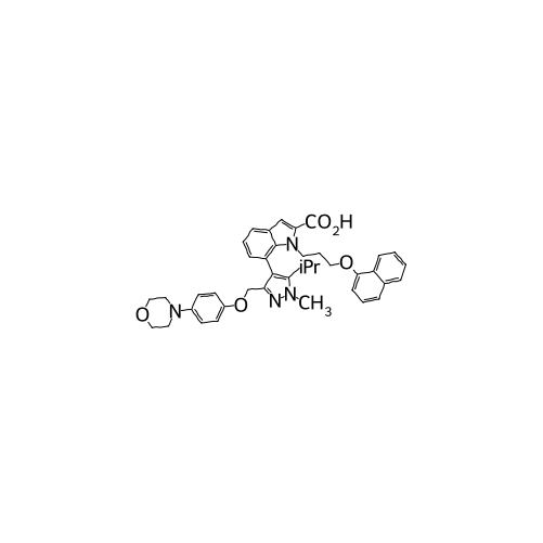 CC(C)c1c(-c2cccc3cc(C(=O)O)n(CCCOc4cccc5ccccc45)c23)c(COc2ccc(N3CCOCC3)cc2)nn1C